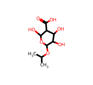 CC(C)OC1OC(O)C(C(=O)O)C(O)C1O